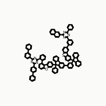 c1ccc(-c2ccc(-c3nc(-c4cccc(-c5ccccc5)c4)nc(-c4ccccc4-c4cccc5oc6cc(C7(c8ccccc8)c8ccccc8-c8cc(-c9cccc(C%10(c%11ccc%12sc%13ccc(-c%14cccc(-c%15nc(-c%16ccccc%16)nc(-c%16ccc%17ccccc%17c%16)n%15)c%14)cc%13c%12c%11)c%11ccccc%11-c%11ccccc%11%10)c9)ccc87)ccc6c45)n3)cc2)cc1